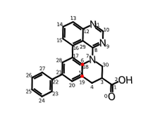 O=C(O)C1CCCN(c2ncnc3cccc(-c4cccc(-c5ccccc5)c4)c23)C1